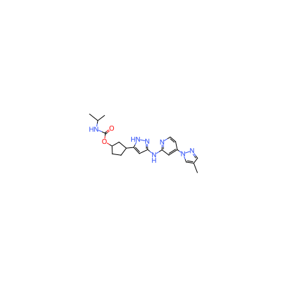 Cc1cnn(-c2ccnc(Nc3cc(C4CCC(OC(=O)NC(C)C)C4)[nH]n3)c2)c1